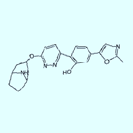 Cc1ncc(-c2ccc(-c3ccc(OC4CC5CCC(C4)N5)nn3)c(O)c2)o1